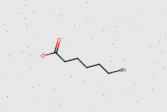 CC(C)CCCCCC([O])=O